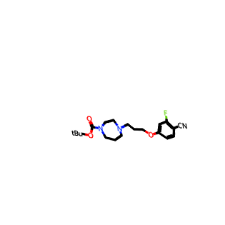 CC(C)(C)OC(=O)N1CCCN(CCCOc2ccc(C#N)c(F)c2)CC1